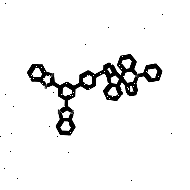 c1ccc(N2c3ccccc3C3(c4ccccc4-c4c(-c5ccc(-c6cc(-c7nc8ccccc8s7)cc(-c7nc8ccccc8s7)c6)cc5)cccc43)c3ccccc32)cc1